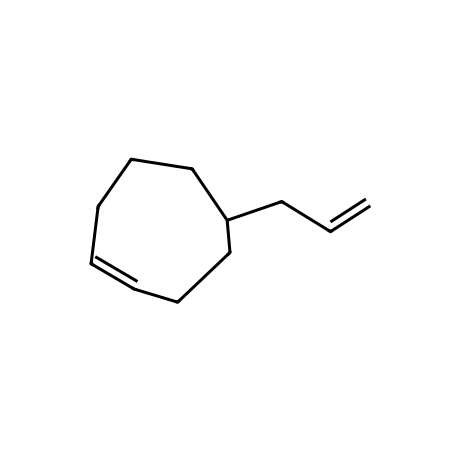 C=CCC1CCC=CCCC1